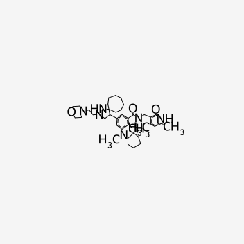 Cc1cc(C)c(CNC(=O)c2cc(C3CN(CCN4CCOCC4)NC34CCCCCCC4)cc(N(C)C3CCCCC3)c2C)c(=O)[nH]1